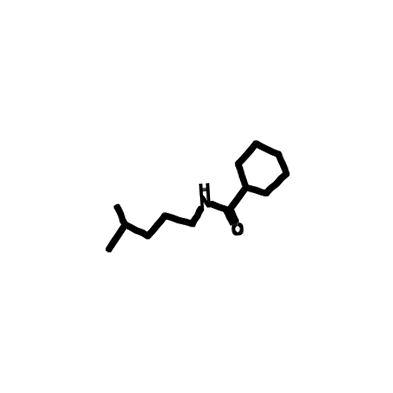 CC(C)CCCNC(=O)C1CCCCC1